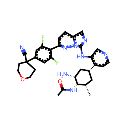 CC(=O)N[C@@H]1[C@H](N)C[C@H](c2ccncc2Nc2ncc3ccc(-c4c(F)cc(C5(C#N)CCOCC5)cc4F)nn23)C[C@@H]1C